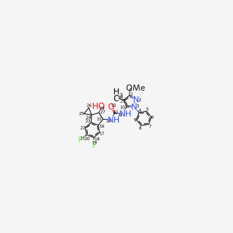 COc1nn(-c2ccccc2)c(NC(=O)NC2c3cc(F)c(F)cc3C3(CC3)C2O)c1C